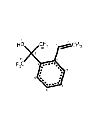 C=Cc1ccccc1C(O)(C(F)(F)F)C(F)(F)F